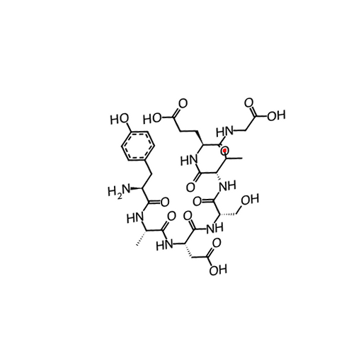 CC(C)[C@H](NC(=O)[C@H](CO)NC(=O)[C@H](CC(=O)O)NC(=O)[C@H](C)NC(=O)[C@@H](N)Cc1ccc(O)cc1)C(=O)N[C@@H](CCC(=O)O)C(=O)NCC(=O)O